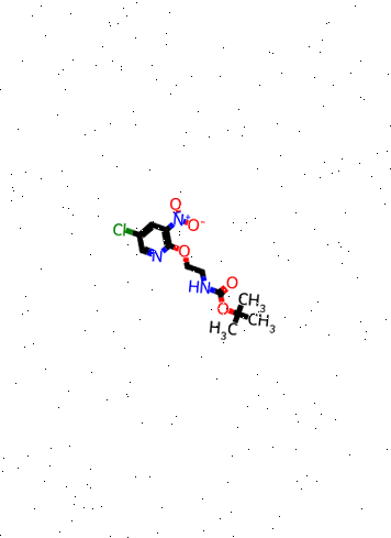 CC(C)(C)OC(=O)NCCOc1ncc(Cl)cc1[N+](=O)[O-]